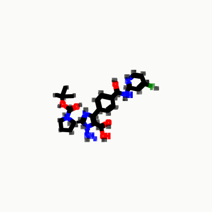 CC(C)(C)OC(=O)N1CCC[C@H]1c1nc(-c2ccc(C(=O)Nc3cc(F)ccn3)cc2)c(C(=O)O)n1N